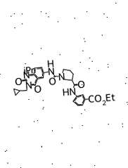 CCOC(=O)c1cccc(NC(=O)C2CCCN(C(=O)Nc3ccc4c(c3)c(=O)n(CC3CC3)c(=O)n4C(C)C)C2)c1